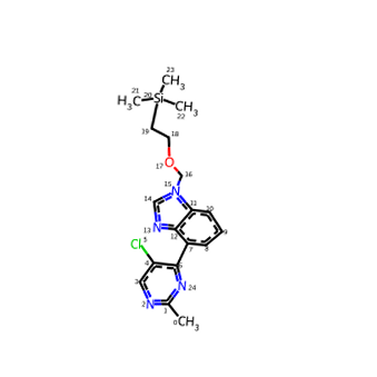 Cc1ncc(Cl)c(-c2cccc3c2ncn3COCC[Si](C)(C)C)n1